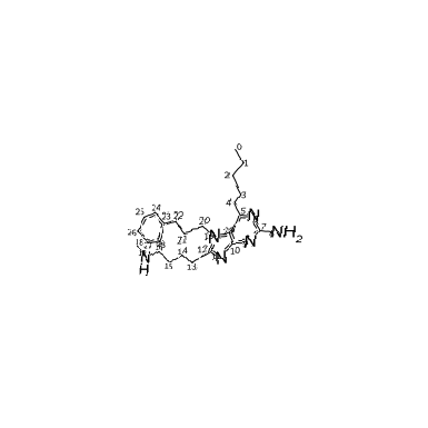 CCCCCc1nc(N)nc2nc(CCCCNC)n(CCCc3ccccc3)c12